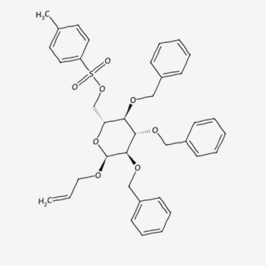 C=CCO[C@H]1O[C@H](COS(=O)(=O)c2ccc(C)cc2)[C@@H](OCc2ccccc2)[C@H](OCc2ccccc2)[C@H]1OCc1ccccc1